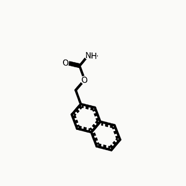 [NH]C(=O)OCc1ccc2ccccc2c1